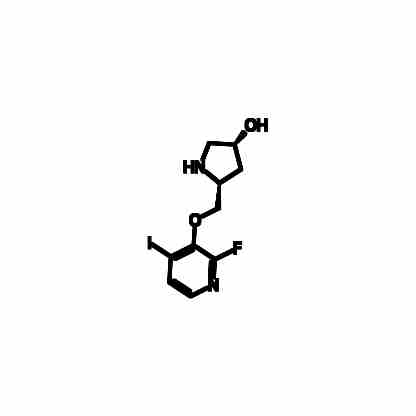 O[C@@H]1CN[C@H](COc2c(I)ccnc2F)C1